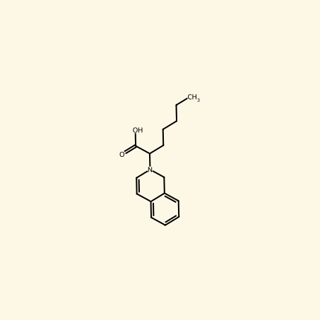 CCCCCC(C(=O)O)N1C=Cc2ccccc2C1